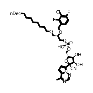 CCCCCCCCCCCCCCCCCCOC[C@H](COP(=O)(O)OC[C@H]1O[C@@](C#N)(c2ccc3c(C)ncnn23)[C@H](O)[C@@H]1O)OCc1ccc(F)c(Cl)c1F